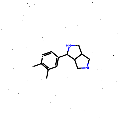 Cc1ccc(C2NCC3CNCC32)cc1C